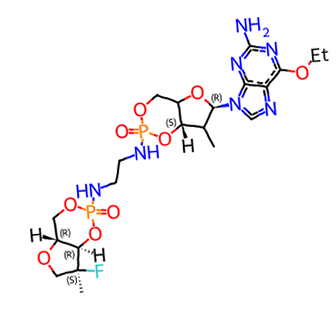 CCOc1nc(N)nc2c1ncn2[C@@H]1OC2COP(=O)(NCCNP3(=O)OC[C@H]4OC[C@](C)(F)[C@@H]4O3)O[C@H]2C1C